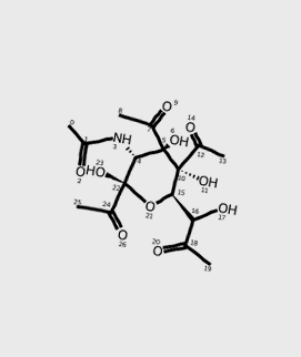 CC(=O)N[C@@H]1[C@](O)(C(C)=O)[C@@](O)(C(C)=O)[C@@H](C(O)C(C)=O)O[C@]1(O)C(C)=O